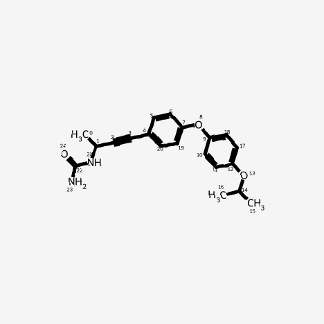 CC(C#Cc1ccc(Oc2ccc(OC(C)C)cc2)cc1)NC(N)=O